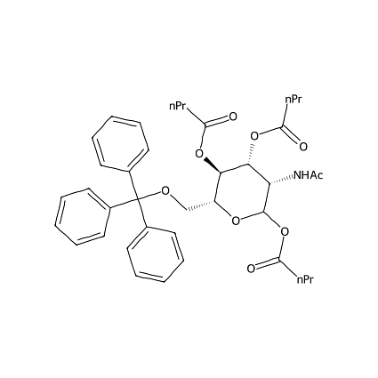 CCCC(=O)OC1O[C@H](COC(c2ccccc2)(c2ccccc2)c2ccccc2)[C@@H](OC(=O)CCC)[C@H](OC(=O)CCC)[C@@H]1NC(C)=O